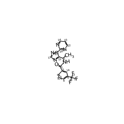 CC(NC(=O)c1cncc(C(F)(F)F)c1)c1ncnn1-c1ncccn1